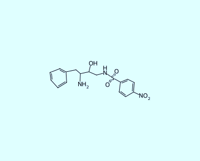 NC(Cc1ccccc1)C(O)CNS(=O)(=O)c1ccc([N+](=O)[O-])cc1